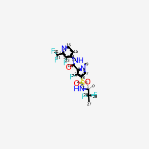 C[C@@H](NS(=O)(=O)c1cn(C)c(C(=O)Nc2ccnc(C(F)F)c2F)c1F)C(C)(F)F